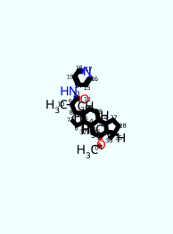 COC1C[C@H]2[C@@H]3CC[C@H]([C@H](C)C(=O)Nc4ccncc4)[C@@]3(C)CC[C@@H]2[C@@]2(C)CC[C@@H]3C[C@@]132